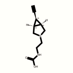 C#C[C@H]1[C@H]2CN(CCNC(=O)O)C[C@@H]12